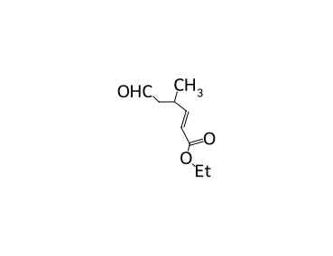 CCOC(=O)C=CC(C)CC=O